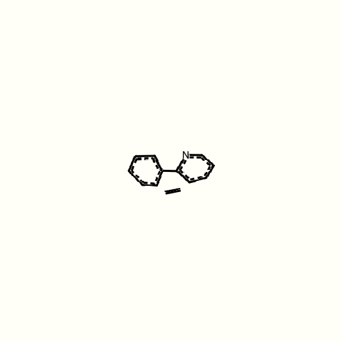 C=C.c1ccc(-c2ccccn2)cc1